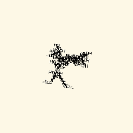 CCCCCCCCCCCCC/C=C/[C@@H](O)[C@H](CO[C@@H]1OC(CO)[C@@H](O[C@@H]2OC(CO)[C@H](O[C@@H]3OC(CO)[C@H](O)[C@H](O[C@@H]4OC(CO)[C@H](O)[C@H](O[C@]5(C(=O)O)CC(O)[C@@H](NC(=O)CO)C([C@H](O)[C@H](O)CO)O5)C4O)C3NC(C)=O)[C@H](O[C@]3(C(=O)O)CC(O)[C@@H](NC(=O)CO)C([C@H](O)[C@H](O)CO)O3)C2O)[C@H](O)C1O)NC(=O)CCCCCCCCCCCCCCCCC